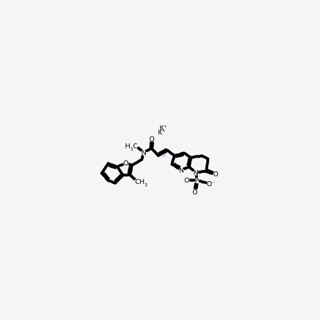 Cc1c(CN(C)C(=O)/C=C/c2cnc3c(c2)CCC(=O)N3P(=O)([O-])[O-])oc2ccccc12.[K+].[K+]